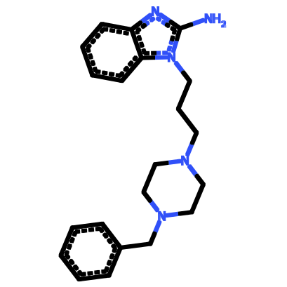 Nc1nc2ccccc2n1CCCN1CCN(Cc2ccccc2)CC1